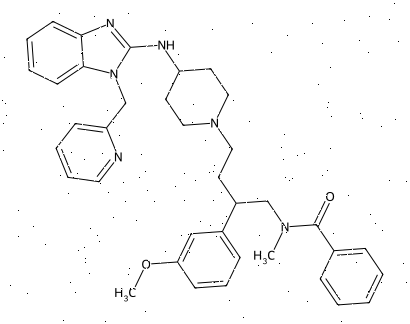 COc1cccc(C(CCN2CCC(Nc3nc4ccccc4n3Cc3ccccn3)CC2)CN(C)C(=O)c2ccccc2)c1